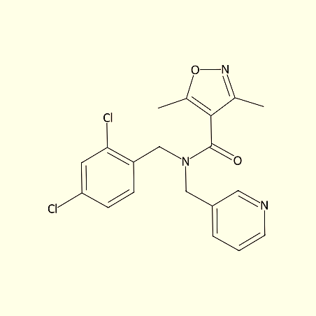 Cc1noc(C)c1C(=O)N(Cc1cccnc1)Cc1ccc(Cl)cc1Cl